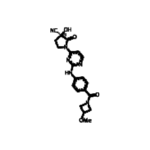 COC1CN(C(=O)c2ccc(Nc3nccc(N4CC[C@](O)(C#N)C4=O)n3)cc2)C1